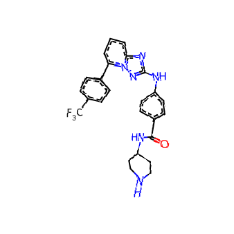 O=C(NC1CCNCC1)c1ccc(Nc2nc3cccc(-c4ccc(C(F)(F)F)cc4)n3n2)cc1